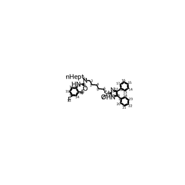 CCCCCCCN(CCCCC[S+]([O-])c1nc(-c2ccccc2)c(-c2ccccc2)[nH]1)C(=O)Nc1ccc(F)cc1F